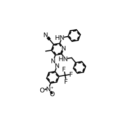 Cc1c(C#N)c(Nc2ccccc2)nc(NCc2ccccc2)c1N=Nc1ccc([N+](=O)[O-])cc1C(F)(F)F